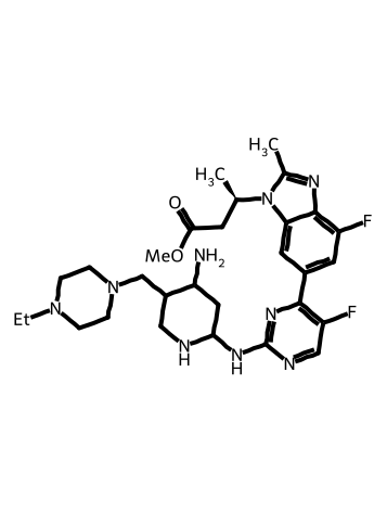 CCN1CCN(CC2CNC(Nc3ncc(F)c(-c4cc(F)c5nc(C)n([C@H](C)CC(=O)OC)c5c4)n3)CC2N)CC1